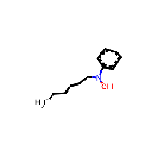 CCCCCCN(O)c1ccccc1